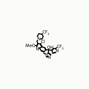 COc1nc2ccc(C(O)(c3ccnc(C(F)(F)F)c3)c3cncn3C)cc2c(Cl)c1CN1CCC(C(F)(F)F)CC1